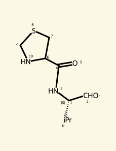 CC(C)[C@@H]([C]=O)NC(=O)C1CSCN1